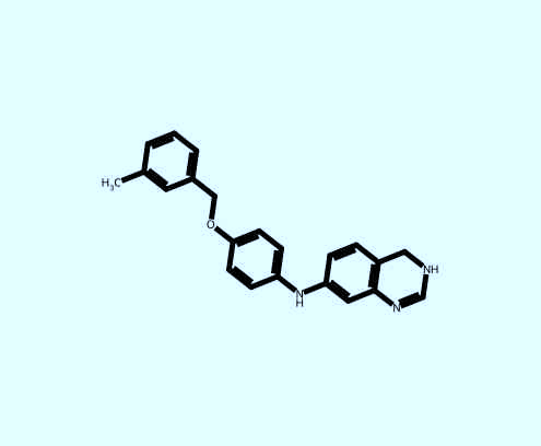 Cc1cccc(COc2ccc(Nc3ccc4c(c3)N=CNC4)cc2)c1